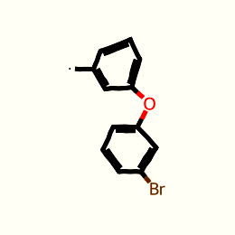 [CH2]c1cccc(Oc2cccc(Br)c2)c1